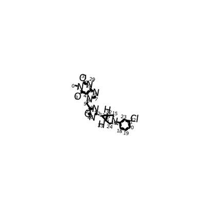 Cn1c(=O)c2c(ncn2Cc2nc([C@@H]3[C@@H]4CN(c5cccc(Cl)c5)C[C@@H]43)no2)n(C)c1=O